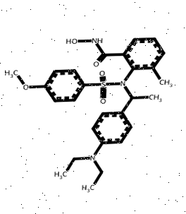 CCN(CC)c1ccc(C(C)N(c2c(C)cccc2C(=O)NO)S(=O)(=O)c2ccc(OC)cc2)cc1